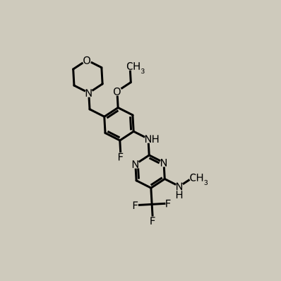 CCOc1cc(Nc2ncc(C(F)(F)F)c(NC)n2)c(F)cc1CN1CCOCC1